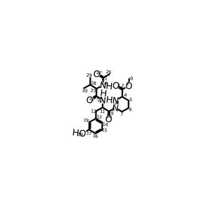 COC(=O)C1CCCN(C(=O)C(Cc2cccc(O)c2)NC(=O)C(NC(C)=O)C(C)C)N1